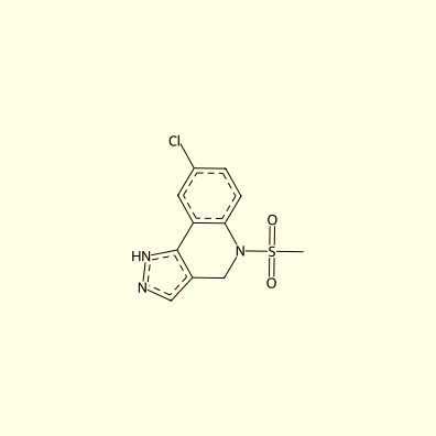 CS(=O)(=O)N1Cc2cn[nH]c2-c2cc(Cl)ccc21